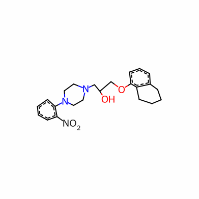 O=[N+]([O-])c1ccccc1N1CCN(CC(O)COc2cccc3c2CCCC3)CC1